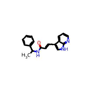 CC(NC(=O)C=Cc1c[nH]c2ncccc12)c1ccccc1